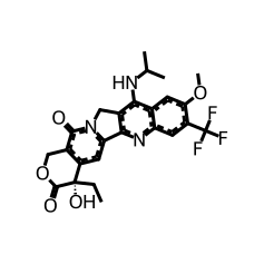 CC[C@@]1(O)C(=O)OCc2c1cc1n(c2=O)Cc2c-1nc1cc(C(F)(F)F)c(OC)cc1c2NC(C)C